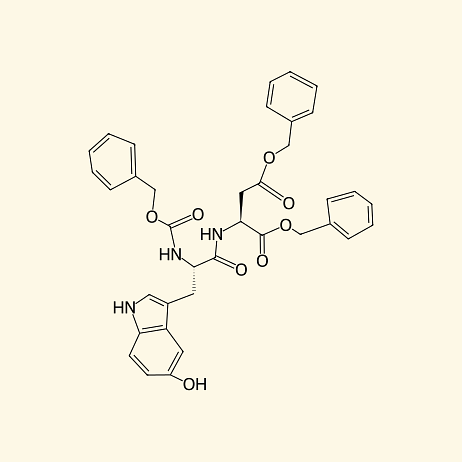 O=C(C[C@H](NC(=O)[C@H](Cc1c[nH]c2ccc(O)cc12)NC(=O)OCc1ccccc1)C(=O)OCc1ccccc1)OCc1ccccc1